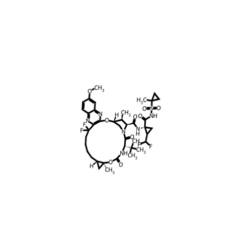 COc1ccc2nc3c(nc2c1)O[C@H]1CN(C(=O)[C@H](C(C)(C)C)NC(=O)O[C@@]2(C)C[C@@H]2CCCCC3(F)F)[C@H](C(=O)N[C@]2(C(=O)NS(=O)(=O)C3(C)CC3)CC2C(F)F)[C@@H]1C